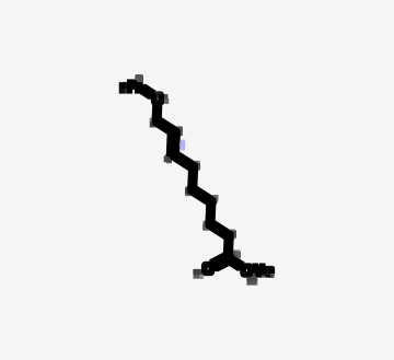 CCCOC/C=C/CCCCCC(=O)OC